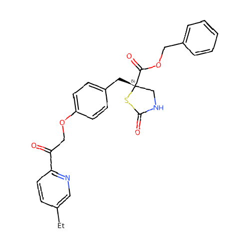 CCc1ccc(C(=O)COc2ccc(C[C@@]3(C(=O)OCc4ccccc4)CNC(=O)S3)cc2)nc1